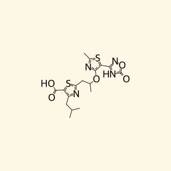 Cc1nc(OC(C)Cc2nc(CC(C)C)c(C(=O)O)s2)c(-c2noc(=O)[nH]2)s1